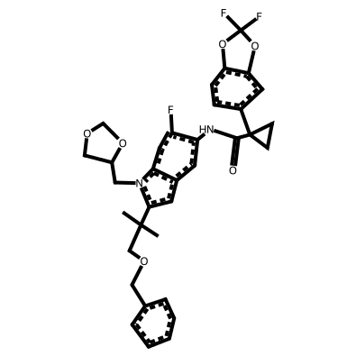 CC(C)(COCc1ccccc1)c1cc2cc(NC(=O)C3(c4ccc5c(c4)OC(F)(F)O5)CC3)c(F)cc2n1CC1COCO1